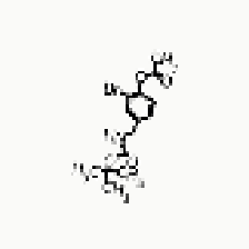 CC(=O)Oc1ccc(CNC(=O)OC(C)(C)C)cc1Br